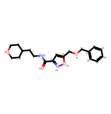 O=C(NCCC1CCOCC1)c1cc(COCc2ccccc2)on1